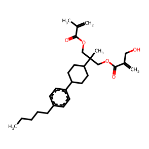 C=C(C)C(=O)OCC(C)(COC(=O)C(=C)CO)C1CCC(c2ccc(CCCCC)cc2)CC1